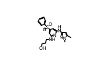 Cc1cc(Nc2cc(S(=O)(=O)c3ccccc3)cc(NCCCO)n2)nn1C